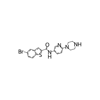 O=C(Nc1ccc(N2CCNCC2)nc1)c1cc2cc(Br)ccc2s1